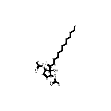 CCCCCCCCCCCCC(=O)C1(O)C(OC(C)=O)C=CC1OC(C)=O